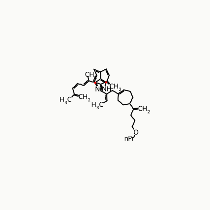 C=C(C)/C=C\C=C(/C)c1n[nH]cc1C1=C\C=C\C(=C\C(=C/C)CC2=CCCC(C(=C)CCCOCCC)CC2)C(=C)/C=C\1